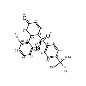 O=C1C=CC(S(=O)(=O)c2ccc(C(F)(F)F)nc2)C(c2c(F)cccc2Br)C1